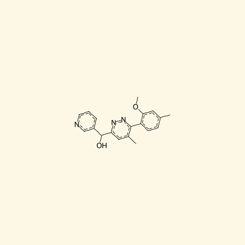 COc1cc(C)ccc1-c1nnc(C(O)c2cccnc2)cc1C